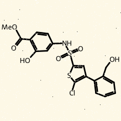 COC(=O)c1ccc(NS(=O)(=O)c2cc(-c3ccccc3CO)c(Cl)s2)cc1O